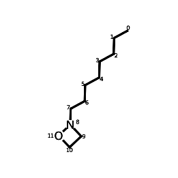 CCCCCCCCN1CCO1